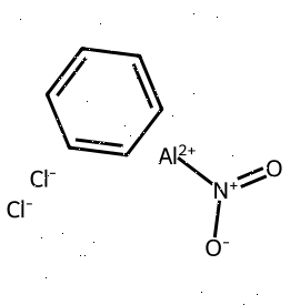 O=[N+]([O-])[Al+2].[Cl-].[Cl-].c1ccccc1